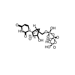 O=c1ccn([C@H]2[C@@H](O)C(O)C3(COP(=O)(O)OP(=O)(O)OP(=O)(O)O)C[C@@H]23)c(=O)[nH]1